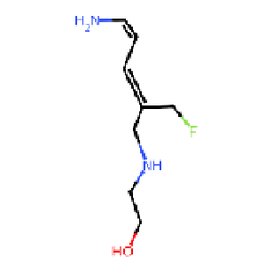 N/C=C\C=C(/CF)CNCCO